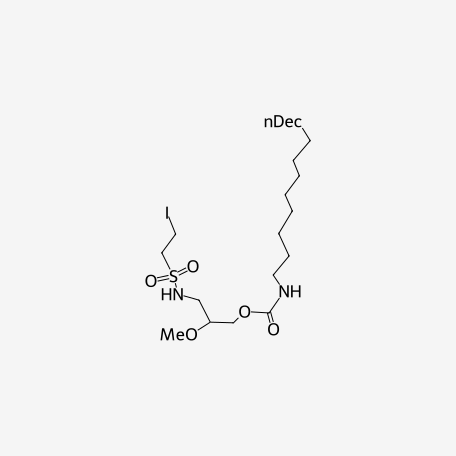 CCCCCCCCCCCCCCCCCCNC(=O)OCC(CNS(=O)(=O)CCI)OC